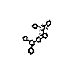 c1ccc(-c2cc(-c3ccccc3)cc(-c3ccc4c(c3)sc3c(-c5nc(-c6ccccc6)nc6c5sc5ccccc56)cccc34)c2)cc1